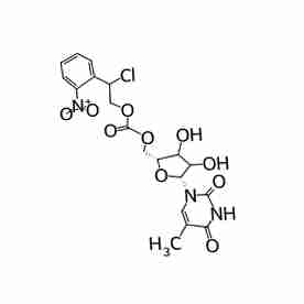 Cc1cn([C@@H]2O[C@H](COC(=O)OCC(Cl)c3ccccc3[N+](=O)[O-])C(O)C2O)c(=O)[nH]c1=O